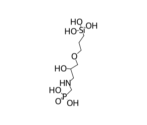 O=P(O)(O)CNCC(O)COCCC[Si](O)(O)O